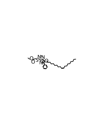 CCCCCCCC/C=C\CCCCCCCCOc1c2ncnc(SCC(=O)OCC)c2nn1-c1ccccc1